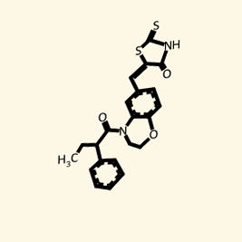 CCC(C(=O)N1CCOc2ccc(C=C3SC(=S)NC3=O)cc21)c1ccccc1